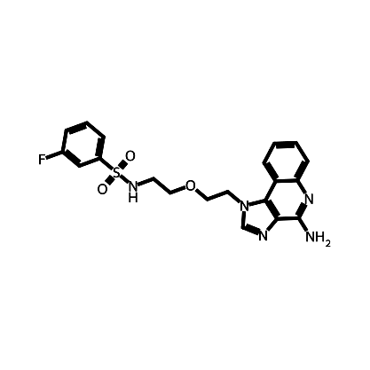 Nc1nc2ccccc2c2c1ncn2CCOCCNS(=O)(=O)c1cccc(F)c1